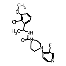 COc1cccc(C(C)NC(=O)N2CCN(c3ccncc3F)CC2)c1Cl